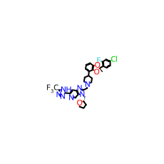 C[C@]1(c2ccc(Cl)cc2F)Oc2cccc(C3CCN(Cc4nc5cc(-c6nnc(C(F)(F)F)[nH]6)ncc5n4C[C@@H]4CCCO4)CC3)c2O1